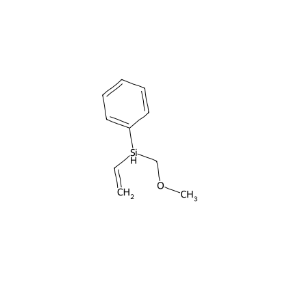 C=C[SiH](COC)c1ccccc1